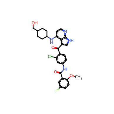 COc1ccc(F)cc1C(=O)Nc1ccc(C(=O)c2c[nH]c3nccc(NC4CCC(CO)CC4)c23)c(Cl)c1